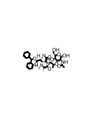 CC(=O)N[C@@H]1[C@@H](OC(C)CN(C(=O)[C@H](C)N)[C@H](CCC(=O)OC(c2ccccc2)c2ccccc2)C(N)=O)[C@H](O)[C@@H](CO)O[C@@H]1O